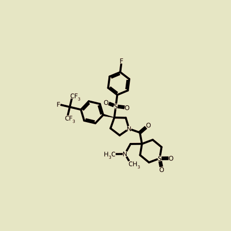 CN(C)CC1(C(=O)N2CC[C@](c3ccc(C(F)(C(F)(F)F)C(F)(F)F)cc3)(S(=O)(=O)c3ccc(F)cc3)C2)CCS(=O)(=O)CC1